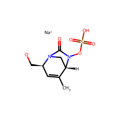 CC1=C[C@@H](C[O-])N2C[C@@H]1N(OS(=O)(=O)O)C2=O.[Na+]